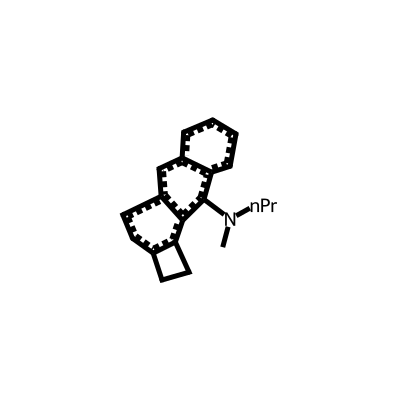 CCCN(C)c1c2ccccc2cc2ccc3c(c12)CC3